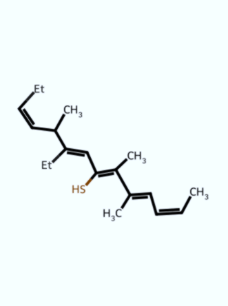 C\C=C/C=C(C)/C(C)=C(S)/C=C(\CC)C(C)/C=C\CC